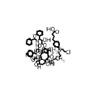 CC(=O)O[C@H]1C(=O)[C@@]2(C)[C@H]([C@H](OC(=O)c3ccccc3)[C@]3(O)C[C@H](OC(=O)[C@H](O)[C@@H](NC(=O)c4ccccc4)c4ccccc4)C(C)=C1C3(C)C)[C@]1(OC(C)=O)CO[C@@H]1C[C@@H]2O.O=C(O)CCCc1ccc(N(CCCl)CCCl)cc1